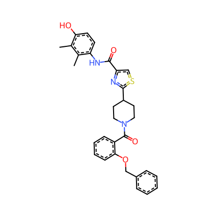 Cc1c(O)ccc(NC(=O)c2csc(C3CCN(C(=O)c4ccccc4OCc4ccccc4)CC3)n2)c1C